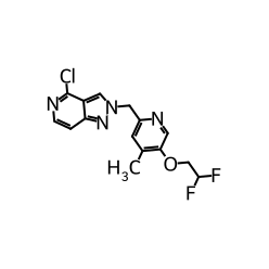 Cc1cc(Cn2cc3c(Cl)nccc3n2)ncc1OCC(F)F